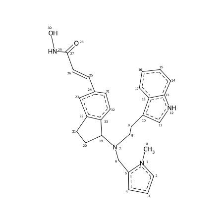 Cn1cccc1CN(CCc1c[nH]c2ccccc12)C1CCc2cc(C=CC(=O)NO)ccc21